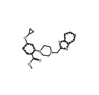 COC(=O)c1ccc(OC2CC2)cc1N1CCN(Cc2nc3ccccc3s2)CC1